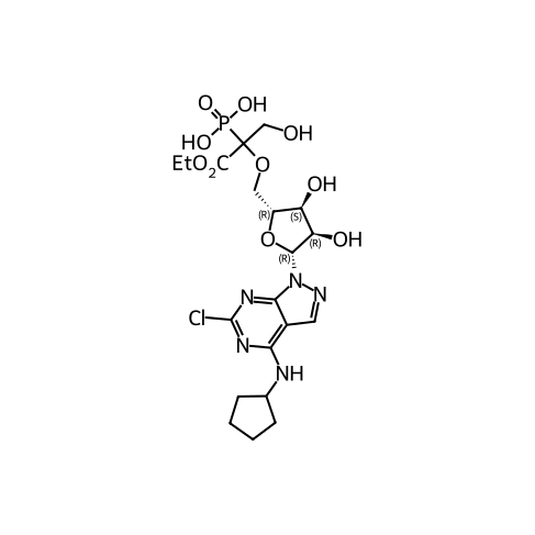 CCOC(=O)C(CO)(OC[C@H]1O[C@@H](n2ncc3c(NC4CCCC4)nc(Cl)nc32)[C@H](O)[C@@H]1O)P(=O)(O)O